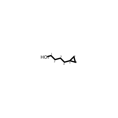 OCCCCC1CC1